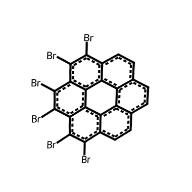 Brc1c(Br)c2c(Br)c(Br)c3c(Br)c(Br)c4ccc5ccc6ccc1c1c6c5c4c3c21